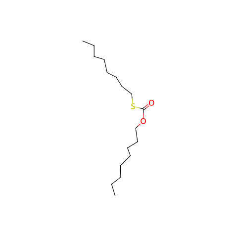 CCCCCCCCOC(=O)SCCCCCCCC